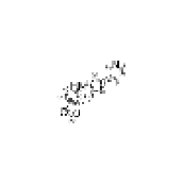 Cc1sc(-c2cccnc2)cc1Nc1ccc2c(c1)OCO2